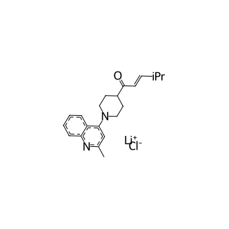 Cc1cc(N2CCC(C(=O)C=CC(C)C)CC2)c2ccccc2n1.[Cl-].[Li+]